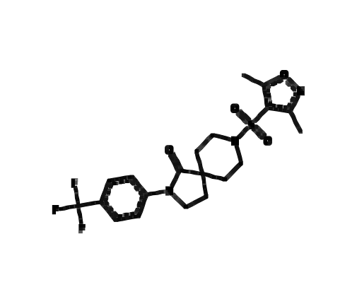 Cc1noc(C)c1S(=O)(=O)N1CCC2(CCN(c3ccc(C(F)(F)F)cc3)C2=O)CC1